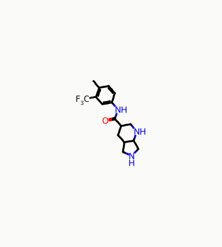 Cc1ccc(NC(=O)C2CNC3CNCC3C2)cc1C(F)(F)F